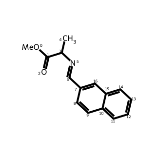 COC(=O)C(C)N=Cc1ccc2ccccc2c1